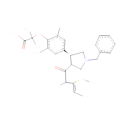 C/C=C(\SC)C(C)C(=O)C1CN(Cc2ccccc2)C[C@@H]1c1cc(C)c(OC(C)(C)C(=O)O)c(C)c1